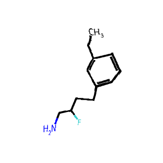 CCc1cccc(CCC(F)CN)c1